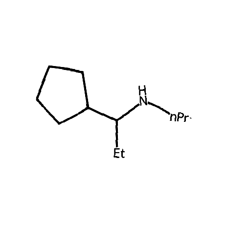 CC[CH]NC(CC)C1CCCC1